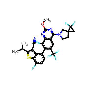 COc1nc(N2CCC3(C2)CC3(F)F)c2cc(C(F)(F)F)c(-c3ccc(F)c4sc(C(C)C)c(C#N)c34)c(F)c2n1